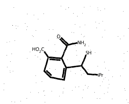 CC(C)CC(S)c1cccc(C(=O)O)c1C(N)=O